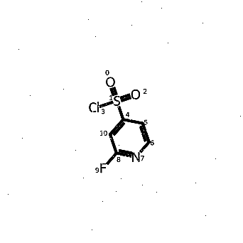 O=S(=O)(Cl)c1ccnc(F)c1